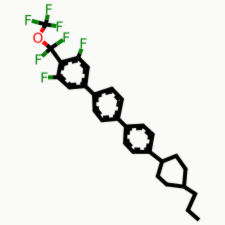 CCCC1CCC(c2ccc(-c3ccc(-c4cc(F)c(C(F)(F)OC(F)(F)F)c(F)c4)cc3)cc2)CC1